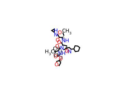 CCC[C@H](NC(=O)C1C[C@]2(CC(C3CCCCC3)=NO2)CN1C(=O)C(NC(=O)O[C@H]1CCOC1)C(C)(C)C)C(=O)C(=O)NC1CC1